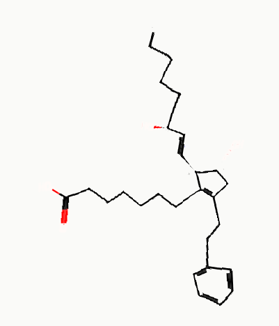 CCCCC[C@H](O)/C=C/[C@@H]1C(CCCCCCC(=O)O)=C(CCc2ccccc2)C[C@H]1O